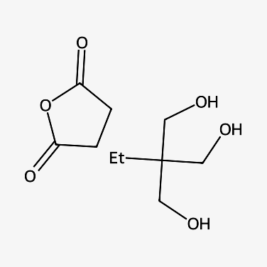 CCC(CO)(CO)CO.O=C1CCC(=O)O1